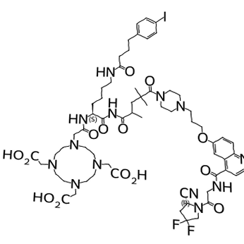 CC(CC(C)(C)C(=O)N1CCN(CCCOc2ccc3nccc(C(=O)NCC(=O)N4CC(F)(F)C[C@@H]4C#N)c3c2)CC1)C(=O)NC(=O)[C@H](CCCCNC(=O)CCCc1ccc(I)cc1)NC(=O)CN1CCN(CC(=O)O)CCN(CC(=O)O)CCN(CC(=O)O)CC1